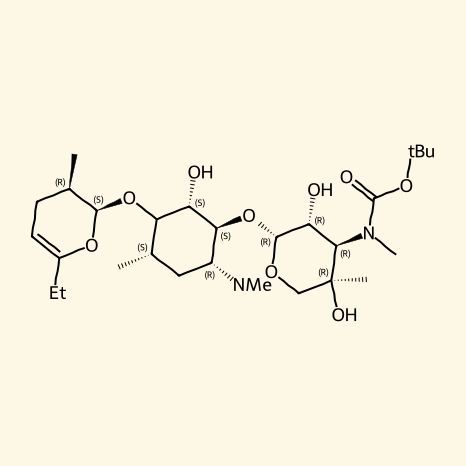 CCC1=CC[C@@H](C)[C@@H](OC2[C@@H](C)C[C@@H](NC)[C@H](O[C@H]3OC[C@](C)(O)[C@H](N(C)C(=O)OC(C)(C)C)[C@H]3O)[C@H]2O)O1